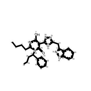 CCCCc1nc(O)c(-c2nnc(Cc3noc4ccccc34)o2)c(=O)n1C(CCC)c1ccccc1